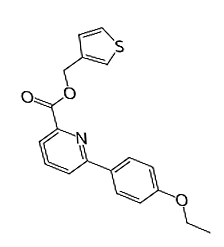 CCOc1ccc(C2=NC(C(=O)OCc3ccsc3)=C=C=C2)cc1